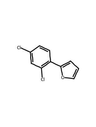 Clc1ccc(-c2ccco2)c(Cl)c1